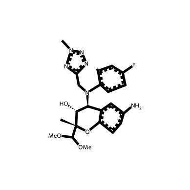 COC(OC)[C@@]1(C)Oc2ccc(N)cc2[C@H](N(Cc2nnn(C)n2)c2ccc(F)cc2C)[C@H]1O